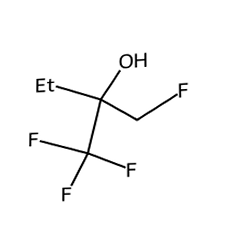 CCC(O)(CF)C(F)(F)F